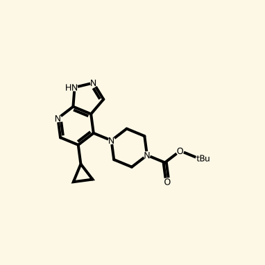 CC(C)(C)OC(=O)N1CCN(c2c(C3CC3)cnc3[nH]ncc23)CC1